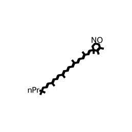 CCCC(C)(C)C/C=C/C(C)=C/C=C/C(C)=C/C=C/C=C(C)/C=C/C=C(C)/C=C/C1(C)CC(N=O)CC(C)=C1C